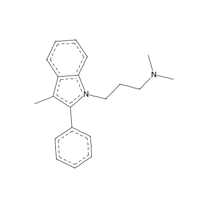 Cc1c(-c2ccccc2)n(CCCN(C)C)c2ccccc12